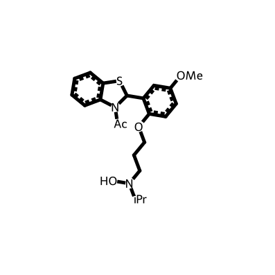 COc1ccc(OCCCN(O)C(C)C)c(C2Sc3ccccc3N2C(C)=O)c1